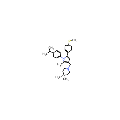 CSc1ccc(-c2cc(CN3CC[Si](C)(C)CC3)c(C)n2-c2ccc(C(C)C)cc2)cc1